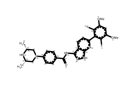 COc1cc(OC)c(F)c(-c2ccc3c(NC(=O)c4ccc(N5C[C@@H](C)N[C@@H](C)C5)cc4)n[nH]c3n2)c1F